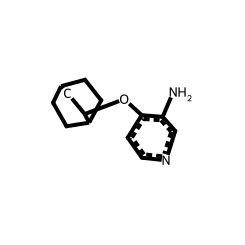 Nc1cnccc1OC1CC2CCC1CC2